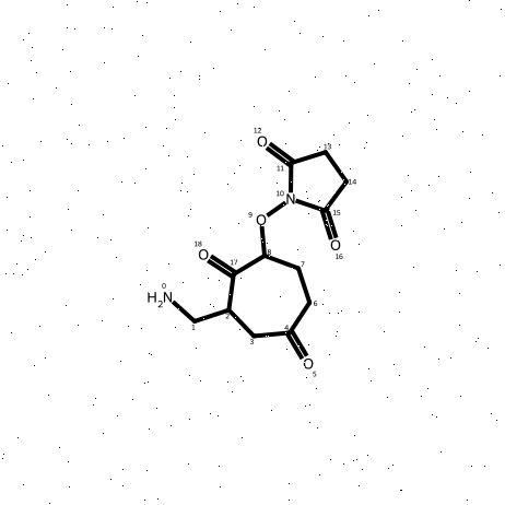 N[CH]C1CC(=O)CCC(ON2C(=O)CCC2=O)C1=O